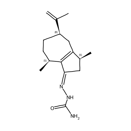 C=C(C)[C@@H]1CC[C@H](C)C2=C(C1)[C@@H](C)CC2=NNC(N)=O